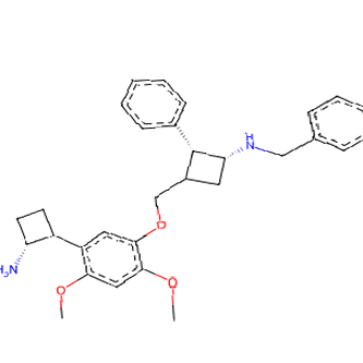 COc1cc(OC)c(C2CC[C@H]2N)cc1OCC1C[C@@H](NCc2ccccc2)[C@H]1c1ccccc1